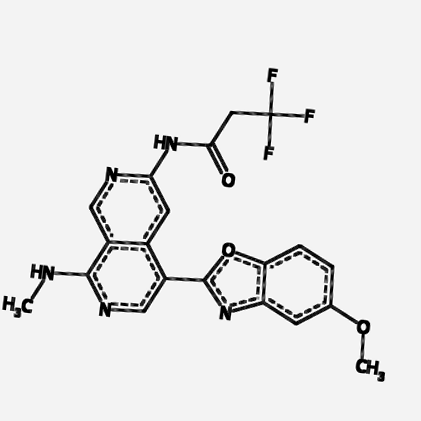 CNc1ncc(-c2nc3cc(OC)ccc3o2)c2cc(NC(=O)CC(F)(F)F)ncc12